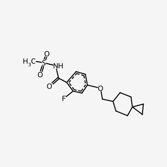 CS(=O)(=O)NC(=O)c1ccc(OCC2CCC3(CC2)CC3)cc1F